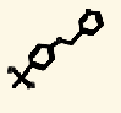 CCC(C)(CC)c1ccc(OCc2cccnc2)cc1